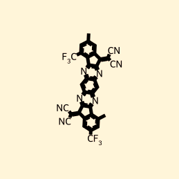 Cc1cc2c(c(C(F)(F)F)c1)-c1nc3cc4nc5c(nc4cc3nc1C2=C(C#N)C#N)-c1c(C)cc(C(F)(F)F)cc1C5=C(C#N)C#N